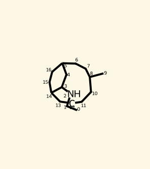 CCNC1CC2CCC(C)CCCCC1CC2